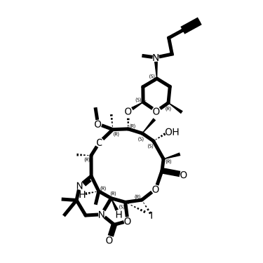 C#CCCN(C)[C@@H]1C[C@H](O[C@@H]2[C@@H](C)[C@H](O)[C@@H](C)C(=O)O[C@H](I)[C@@]3(C)OC(=O)N4CC(C)(C)N=C([C@H](C)C[C@@]2(C)OC)[C@H](C)[C@@H]43)O[C@H](C)C1